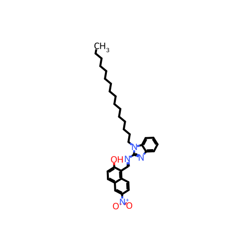 CCCCCCCCCCCCCCCCn1c(/N=C/c2c(O)ccc3cc([N+](=O)[O-])ccc23)nc2ccccc21